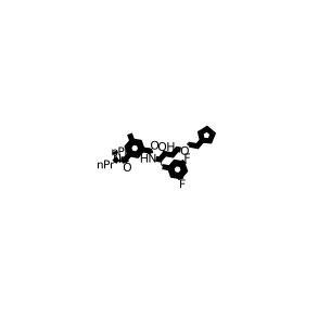 CCCN(CCC)C(=O)c1cc(C)cc(C(=O)N[C@@H](Cc2cc(F)cc(F)c2)[C@@H](O)CCOCCC2CCCC2)c1